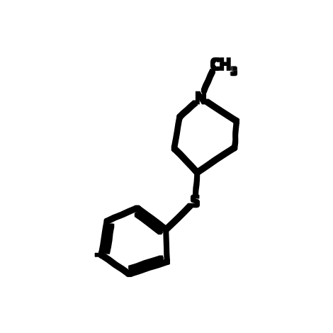 CN1CCC(Sc2cc[c]cc2)CC1